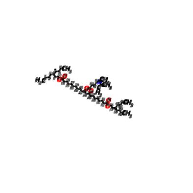 CCCCC(CCCC)CCOC(=O)CCCCCCCCCC(CCCCCCCCCC(=O)OCCC(CCCC)CCCC)OC(=O)CCCN(C)C(C)C